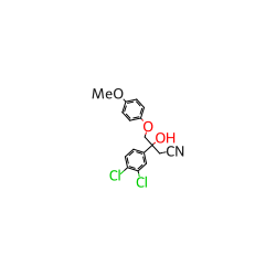 COc1ccc(OCC(O)(CC#N)c2ccc(Cl)c(Cl)c2)cc1